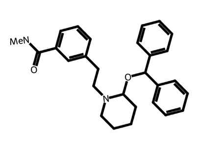 CNC(=O)c1cccc(CCN2CCCCC2OC(c2ccccc2)c2ccccc2)c1